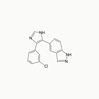 Clc1cccc(-c2nc[nH]c2-c2ccc3[nH]ncc3c2)c1